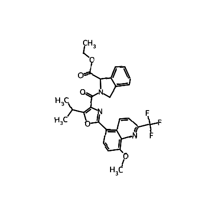 CCOC(=O)C1c2ccccc2CN1C(=O)c1nc(-c2ccc(OC)c3nc(C(F)(F)F)ccc23)oc1C(C)C